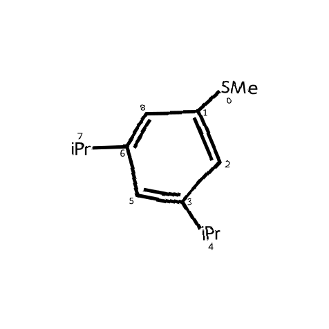 CSc1cc(C(C)C)cc(C(C)C)c1